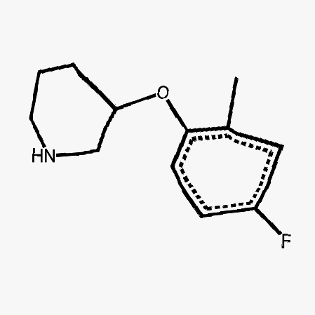 Cc1cc(F)ccc1OC1CCCNC1